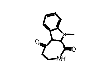 CN1c2ccccc2C2C(=O)CCNC(=O)C21